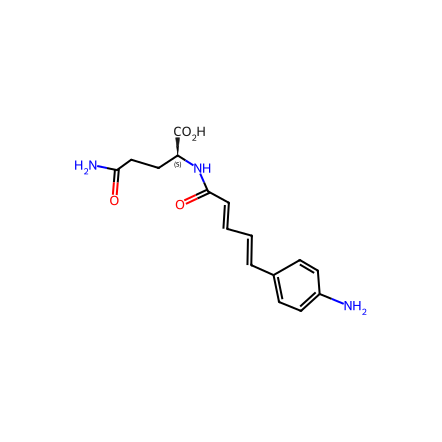 NC(=O)CC[C@H](NC(=O)C=CC=Cc1ccc(N)cc1)C(=O)O